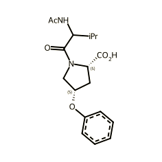 CC(=O)NC(C(=O)N1C[C@@H](Oc2ccccc2)C[C@H]1C(=O)O)C(C)C